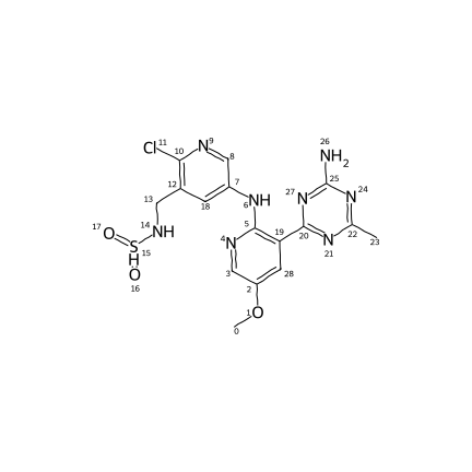 COc1cnc(Nc2cnc(Cl)c(CN[SH](=O)=O)c2)c(-c2nc(C)nc(N)n2)c1